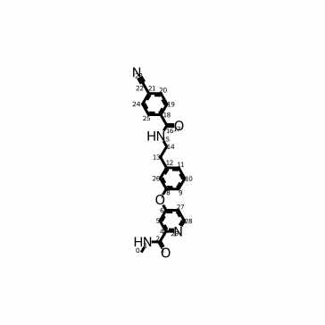 CNC(=O)c1cc(Oc2cccc(CCNC(=O)c3ccc(C#N)cc3)c2)ccn1